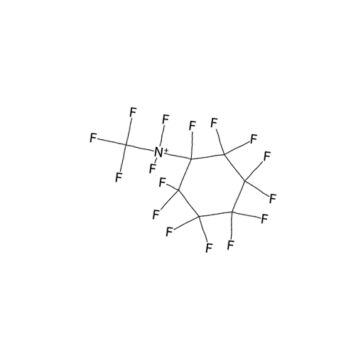 FC1(F)C(F)(F)C(F)(F)C(F)([N+](F)(F)C(F)(F)F)C(F)(F)C1(F)F